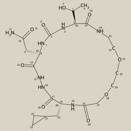 CC(O)[C@@H]1NC(=O)N[C@@H](CC(N)=O)C(=O)NNC(=O)[C@@H](CC2CC2)NC(=O)COCCOCCNC1=O